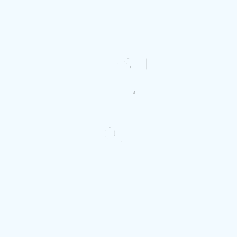 C=COCC[SiH3]